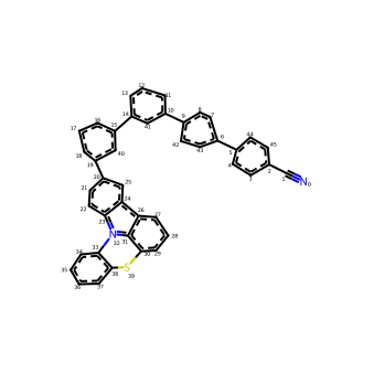 N#Cc1ccc(-c2ccc(-c3cccc(-c4cccc(-c5ccc6c(c5)c5cccc7c5n6-c5ccccc5S7)c4)c3)cc2)cc1